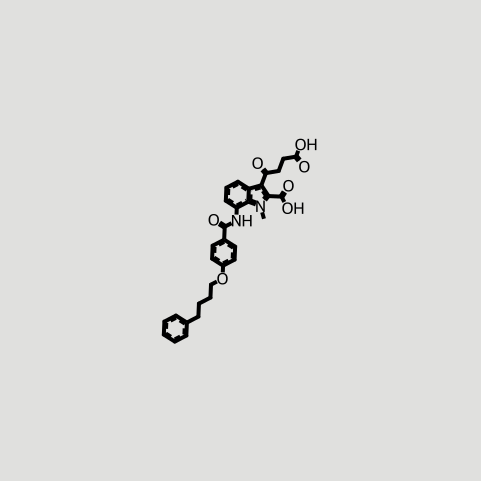 Cn1c(C(=O)O)c(C(=O)CCC(=O)O)c2cccc(NC(=O)c3ccc(OCCCCc4ccccc4)cc3)c21